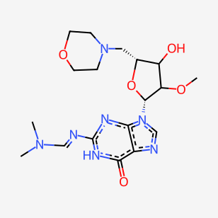 COC1C(O)[C@@H](CN2CCOCC2)O[C@H]1n1cnc2c(=O)[nH]c(/N=C/N(C)C)nc21